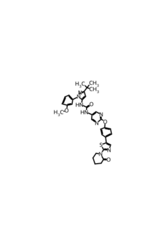 COc1cccc(-n2nc(C(C)(C)C)cc2NC(=O)Nc2cnc(Oc3ccc(-c4cnc(N5CCCCC5=O)s4)cc3)nc2)c1